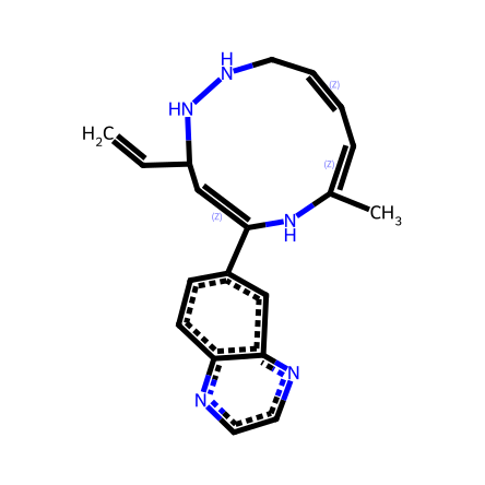 C=CC1/C=C(/c2ccc3nccnc3c2)N/C(C)=C\C=C/CNN1